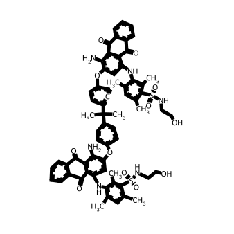 Cc1cc(C)c(S(=O)(=O)NCCO)c(C)c1Nc1cc(Oc2ccc(C(C)(C)c3ccc(Oc4cc(Nc5c(C)cc(C)c(S(=O)(=O)NCCO)c5C)c5c(c4N)C(=O)c4ccccc4C5=O)cc3)cc2)c(N)c2c1C(=O)c1ccccc1C2=O